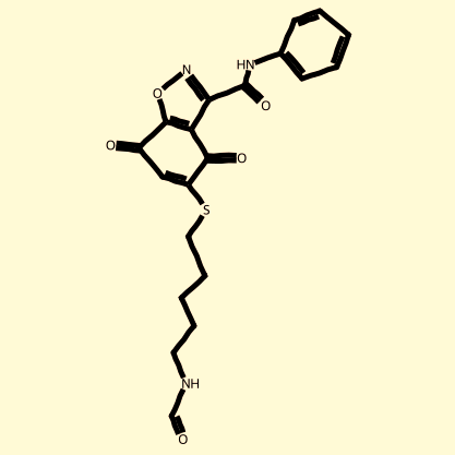 O=CNCCCCCSC1=CC(=O)c2onc(C(=O)Nc3ccccc3)c2C1=O